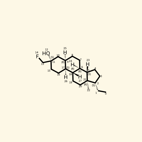 CC[C@H]1CC[C@H]2[C@@H]3CC[C@@H]4C[C@](O)(CF)CC[C@@H]4[C@H]3CC[C@]12C